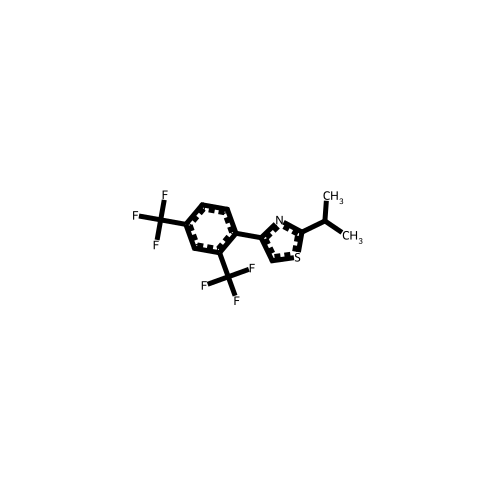 CC(C)c1nc(-c2ccc(C(F)(F)F)cc2C(F)(F)F)cs1